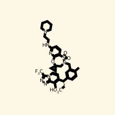 Cc1ccc([C@H](CC(=O)O)c2ccn3c(C(F)(F)F)nnc3c2C)cc1CN1CC2(CC2)Oc2nc(NCCN3CCCCC3)ccc2S1(=O)=O